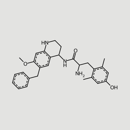 COc1cc2c(cc1Cc1ccccc1)C(NC(=O)C(N)Cc1c(C)cc(O)cc1C)CCN2